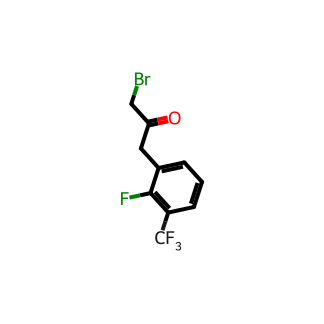 O=C(CBr)Cc1cccc(C(F)(F)F)c1F